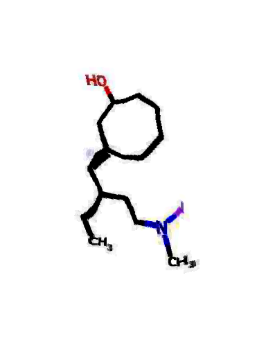 CCC(/C=C1\CCCCC(O)C1)CCN(C)I